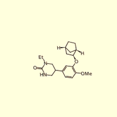 CCN1CC(c2ccc(OC)c(O[C@H]3C[C@@H]4CC[C@H]3C4)c2)CNC1=O